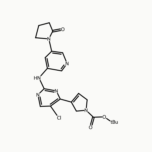 CC(C)(C)OC(=O)N1CC=C(c2nc(Nc3cncc(N4CCCC4=O)c3)ncc2Cl)C1